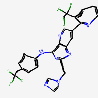 FC(F)(F)c1ccc(Nc2nc(Cn3ccnc3)nc3cc(-c4ncccc4C(F)(F)F)cnc23)cc1